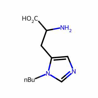 CCCCn1cncc1CC(N)C(=O)O